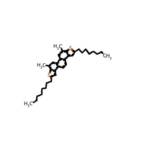 CCCCCCCCc1cc2c(s1)c(C)cc1c2ccc2c3cc(CCCCCCCC)sc3c(C)cc21